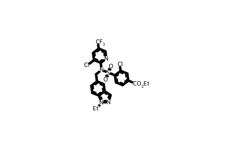 CCOC(=O)c1ccc(S(=O)(=O)N(Cc2ccc3c(cnn3CC)c2)c2ncc(C(F)(F)F)cc2Cl)c(Cl)c1